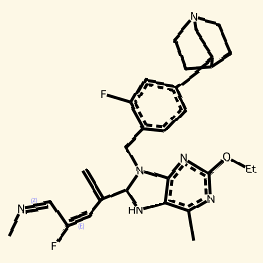 C=C(/C=C(F)\C=N/C)C1Nc2c(C)nc(OCC)nc2N1Cc1ccc(C2CN3CCC2CC3)cc1F